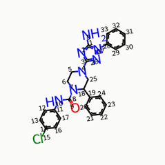 Nc1nc(N2CCN(C(=O)Nc3ccc(Cl)cc3)C(c3ccccc3)C2)nn1-c1ccccc1